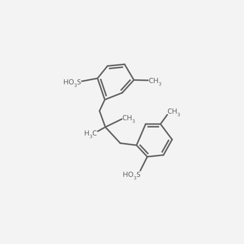 Cc1ccc(S(=O)(=O)O)c(CC(C)(C)Cc2cc(C)ccc2S(=O)(=O)O)c1